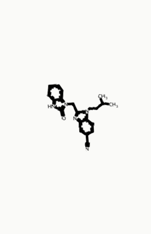 CC(C)CCn1c(Cn2c(=O)[nH]c3ccccc32)nc2cc(C#N)ccc21